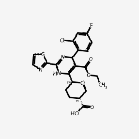 CCOC(=O)C1=C([C@@H]2CC[C@@H](C(=O)O)CO2)NC(c2nccs2)=NC1c1ccc(F)cc1Cl